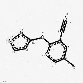 N#Cc1cc(Br)cnc1Oc1cc[nH]n1